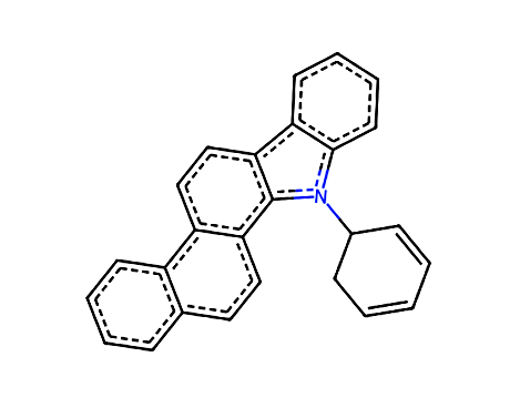 C1=CCC(n2c3ccccc3c3ccc4c5ccccc5ccc4c32)C=C1